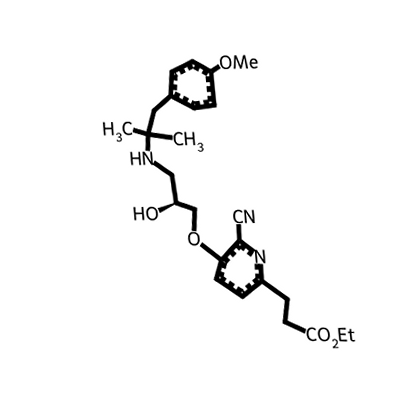 CCOC(=O)CCc1ccc(OC[C@@H](O)CNC(C)(C)Cc2ccc(OC)cc2)c(C#N)n1